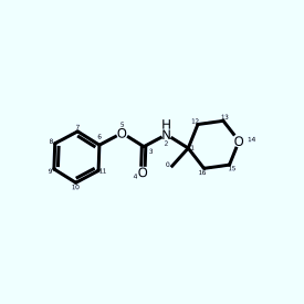 CC1(NC(=O)Oc2ccccc2)CCOCC1